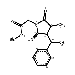 CC1C(=O)N(CC(=O)OC(C)(C)C)C(=O)C1C(C)c1ccccc1